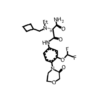 CCN(CC1CCC1)[C@H](C(N)=O)C(=O)Nc1ccc(N2CCOCC2=O)c(OC(F)F)c1